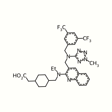 CCN(CC1CCC(CC(=O)O)CC1)c1nc2ccccc2cc1CN(Cc1cc(C(F)(F)F)cc(C(F)(F)F)c1)c1nnn(C)n1